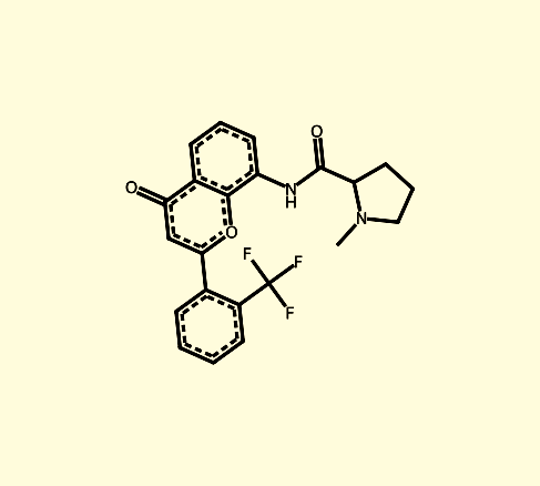 CN1CCCC1C(=O)Nc1cccc2c(=O)cc(-c3ccccc3C(F)(F)F)oc12